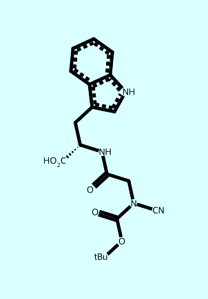 CC(C)(C)OC(=O)N(C#N)CC(=O)N[C@@H](Cc1c[nH]c2ccccc12)C(=O)O